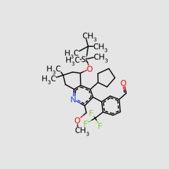 COCc1nc2c(c(C3CCCC3)c1-c1cc(C=O)ccc1C(F)(F)F)C(O[Si](C)(C)C(C)(C)C)CC(C)(C)C2